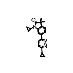 CC1(C)C(=O)N(C2CC2)c2cc(-c3ccc(C4CC4)nn3)ccc21